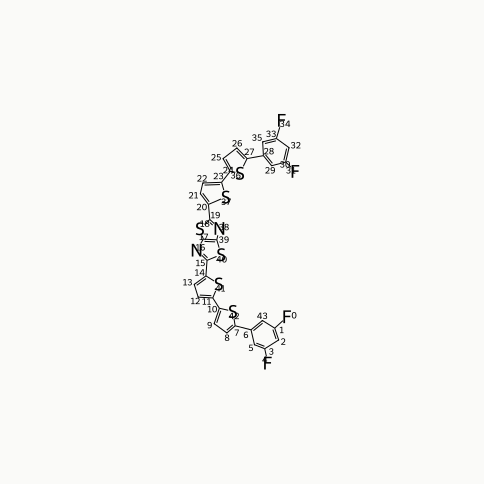 Fc1cc(F)cc(-c2ccc(-c3ccc(-c4nc5sc(-c6ccc(-c7ccc(-c8cc(F)cc(F)c8)s7)s6)nc5s4)s3)s2)c1